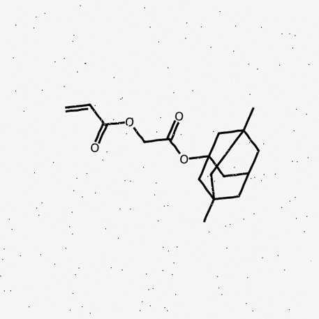 C=CC(=O)OCC(=O)OC12CC3CC(C)(CC(C)(C3)C1)C2